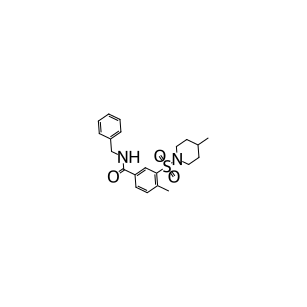 Cc1ccc(C(=O)NCc2ccccc2)cc1S(=O)(=O)N1CCC(C)CC1